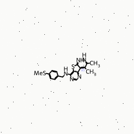 CSc1ccc(CNc2ncnc3c2SC(=N)/C3=C(/C)C(C)=N)cc1